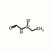 CC[S+]([O-])NC=O